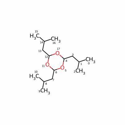 CC(C)CC1OC(CC(C)C)OC(CC(C)C)O1